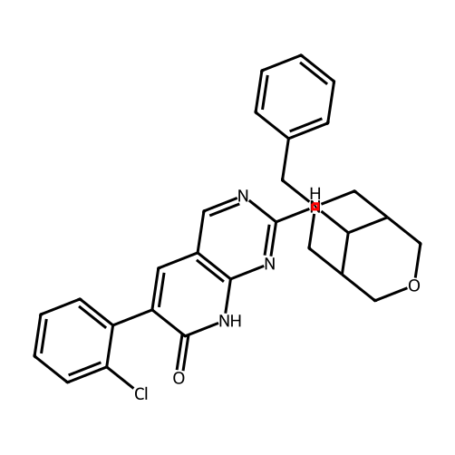 O=c1[nH]c2nc(NC3C4COCC3CN(Cc3ccccc3)C4)ncc2cc1-c1ccccc1Cl